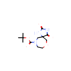 CC(C)(C)OC(=O)N1CCOCC2(C1)NC(=O)NC2=O